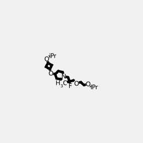 CC(C)OCCOCC(C)(F)CN1CCC(OC2CC(OC(C)C)C2)CC1